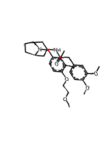 COCCOc1ccc(CN2C3CCC2CC(NC(=O)Cc2ccc(OC)c(OC)c2)C3)c(C)c1C